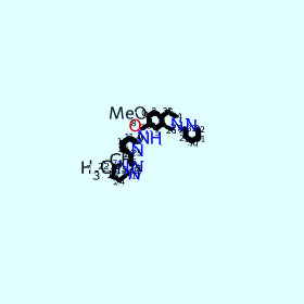 COc1cc2c(cc1C(=O)Nc1cccc(-c3nnc4n3C(C)(C)CC4)n1)CN(c1ccccn1)CC2